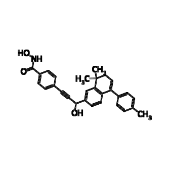 Cc1ccc(C2=CCC(C)(C)c3cc(C(O)C#Cc4ccc(C(=O)NO)cc4)ccc32)cc1